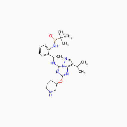 CC(C)c1cnn2c(NC(C)c3ccccc3N[S+]([O-])C(C)(C)C)nc(O[C@@H]3CCCNC3)nc12